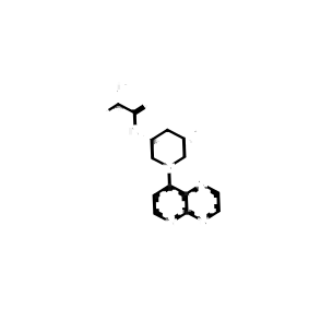 CC(C)[C@@H](O)C(=O)N[C@@H]1C[C@H](C)CN(c2ccnc3nccnc23)C1